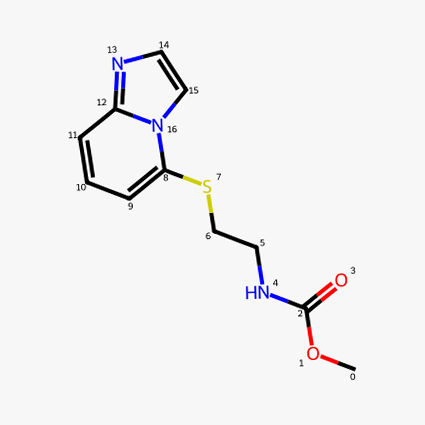 COC(=O)NCCSc1cccc2nccn12